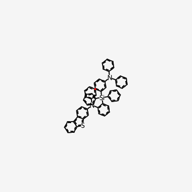 c1ccc(N(c2ccccc2)c2cccc([Si](c3ccccc3)(c3ccccc3)c3ccccc3N(c3ccccc3)c3ccc4c(c3)sc3ccccc34)c2)cc1